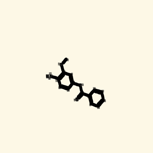 COc1cc(OC(=O)c2ccccc2)ccc1N